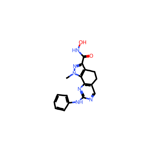 Cn1nc(C(=O)NO)c2c1-c1nc(Nc3ccccc3)ncc1CC2